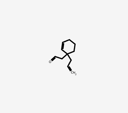 C=CCC1(CC=O)C=CCCC1